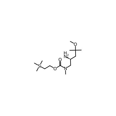 COC(C)(C)C[C@H](N)CN(C)C(=O)OCC[Si](C)(C)C